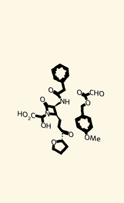 COc1ccc(COC(=O)C=O)cc1.O=C(Cc1ccccc1)N[C@@H]1C(=O)N(C(O)C(=O)O)[C@@H]1CCC(=O)[C@@H]1CCCO1